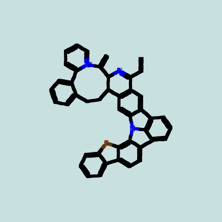 C=CC1=NC2C(=C)[n+]3ccccc3-c3ccccc3CCC2c2cc3c(cc21)c1cccc2c4ccc5c6ccccc6sc5c4n3c12